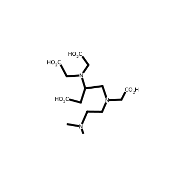 CN(C)CCN(CC(=O)O)CC(CC(=O)O)N(CC(=O)O)CC(=O)O